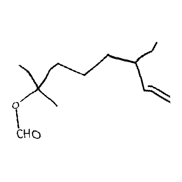 C=CC(C)CCCC(C)(C)OC=O